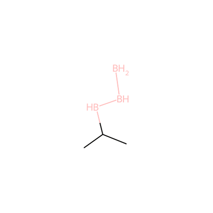 BBBC(C)C